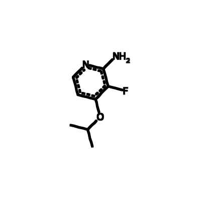 CC(C)Oc1ccnc(N)c1F